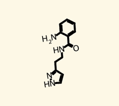 Nc1ccccc1C(=O)NCCc1cc[nH]n1